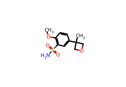 COc1ccc(C2(C)COC2)cc1S(N)(=O)=O